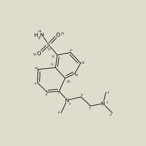 CN(C)CCN(C)c1cccc2c(S(N)(=O)=O)cccc12